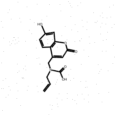 C=CCN(Cc1cc(=O)oc2cc(O)ccc12)C(=O)O